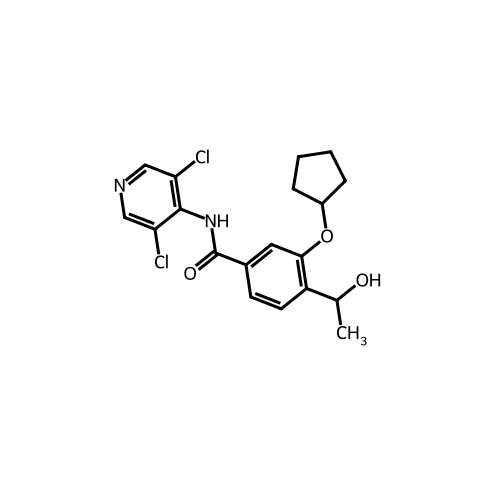 CC(O)c1ccc(C(=O)Nc2c(Cl)cncc2Cl)cc1OC1CCCC1